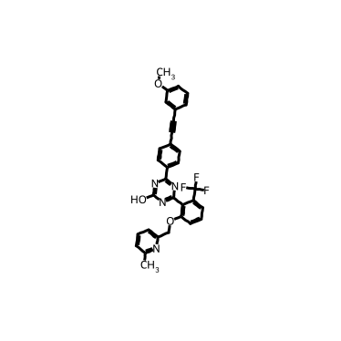 COc1cccc(C#Cc2ccc(-c3nc(O)nc(-c4c(OCc5cccc(C)n5)cccc4C(F)(F)F)n3)cc2)c1